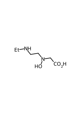 CCNCCN(O)CC(=O)O